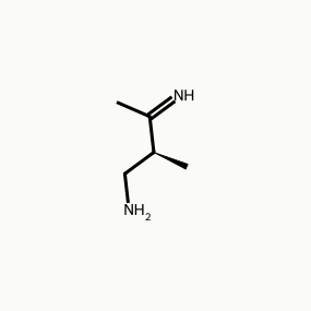 CC(=N)[C@@H](C)CN